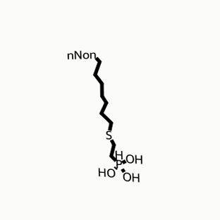 CCCCCCCCCCCCCCCCSCC[PH](O)(O)O